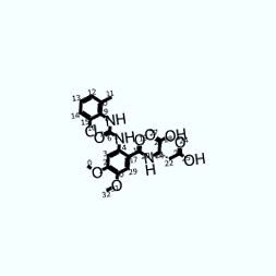 COc1cc(NC(=O)Nc2c(C)cccc2Cl)c(C(=O)N[C@@H](CC(=O)O)C(=O)O)cc1OC